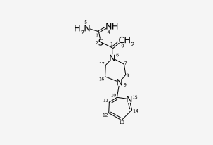 C=C(SC(=N)N)N1CCN(c2ccccn2)CC1